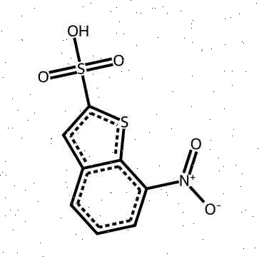 O=[N+]([O-])c1cccc2cc(S(=O)(=O)O)sc12